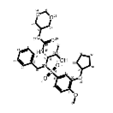 COc1ccc(S(=O)(=O)N(Cc2ccccc2)[C@H](NC(=O)OC2COCOC2)[C@@H](C)O)cc1OC1CCCC1